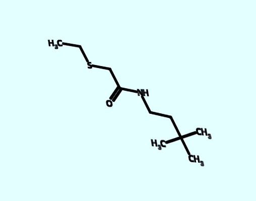 CCSCC(=O)NCCC(C)(C)C